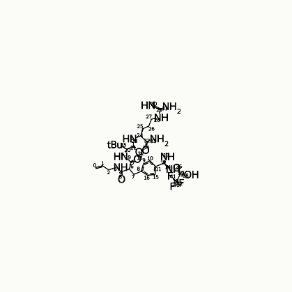 C=CCNC(=O)C(Cc1ccc(C(=N)N)cc1)C(=O)N[C@H](C(=O)N[C@@H](CCCNC(=N)N)C(N)=O)C(C)(C)C.O=C(O)C(F)(F)F